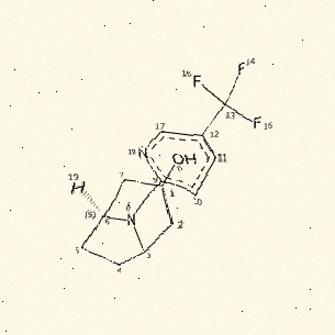 OC1CC2CC[C@@H](C1)N2c1ccc(C(F)(F)F)cn1